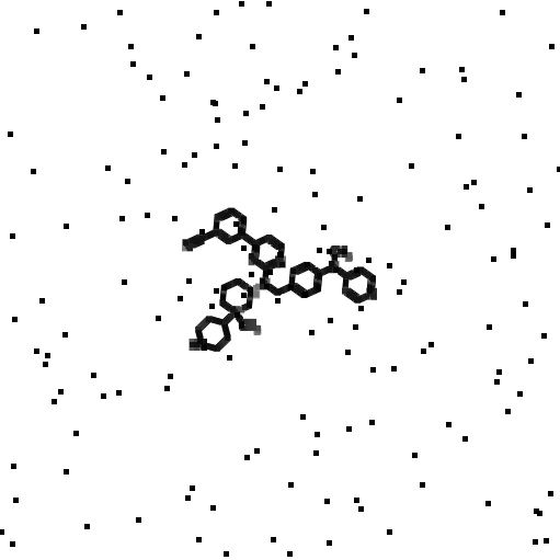 CN(c1ccncc1)c1ccc(CN(c2nccc(-c3cccc(C#N)c3)n2)[C@H]2CCC[N+](C)(C3CCNCC3)C2)cc1